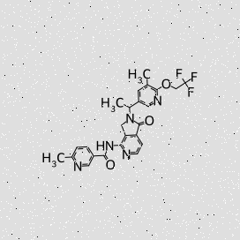 Cc1ccc(C(=O)Nc2nccc3c2CN(C(C)c2cnc(OCC(F)(F)F)c(C)c2)C3=O)cn1